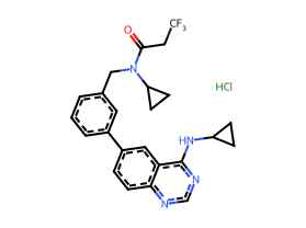 Cl.O=C(CC(F)(F)F)N(Cc1cccc(-c2ccc3ncnc(NC4CC4)c3c2)c1)C1CC1